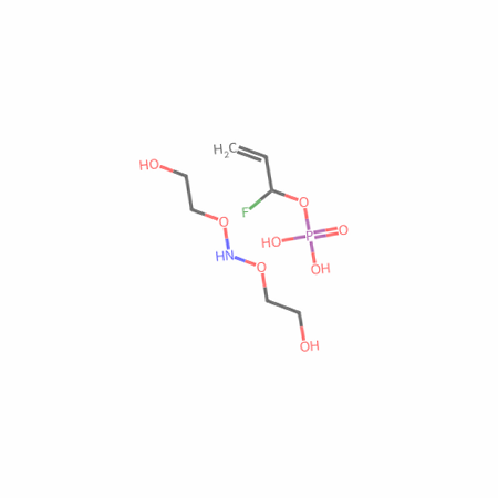 C=CC(F)OP(=O)(O)O.OCCONOCCO